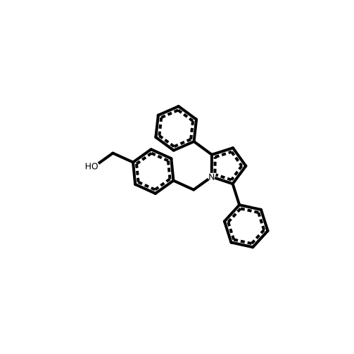 OCc1ccc(Cn2c(-c3ccccc3)ccc2-c2ccccc2)cc1